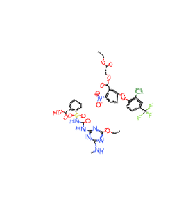 CCOC(=O)COC(=O)c1cc(Oc2ccc(C(F)(F)F)cc2Cl)ccc1[N+](=O)[O-].CCOc1nc(NC)nc(NC(=O)NS(=O)(=O)c2ccccc2C(=O)O)n1